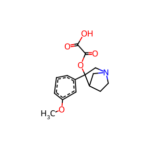 COc1cccc(C2(OC(=O)C(=O)O)CN3CCC2C3)c1